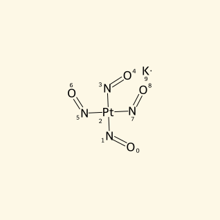 O=[N][Pt]([N]=O)([N]=O)[N]=O.[K]